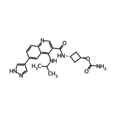 CC(C)Nc1c(C(=O)N[C@H]2C[C@H](OC(N)=O)C2)cnc2ccc(-c3cn[nH]c3)cc12